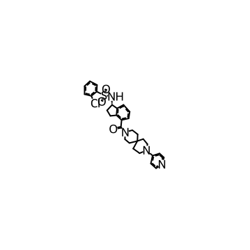 O=C(c1cccc2c1CC[C@H]2NS(=O)(=O)c1ccccc1Cl)N1CCC2(CC1)CCN(c1ccncc1)CC2